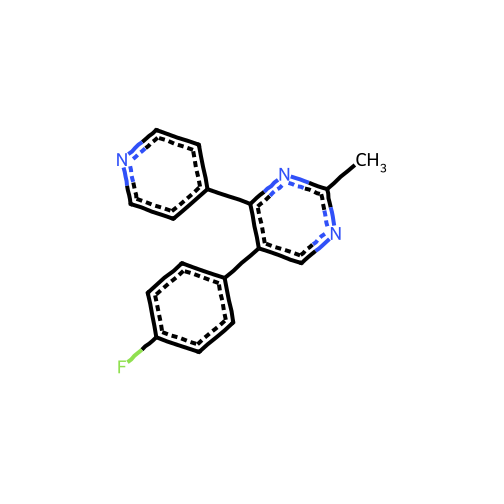 Cc1ncc(-c2ccc(F)cc2)c(-c2ccncc2)n1